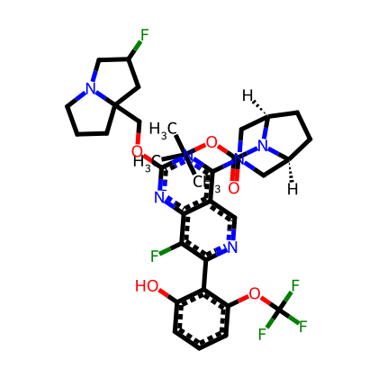 CC(C)(C)OC(=O)N1[C@@H]2CC[C@H]1CN(c1nc(OCC34CCCN3CC(F)C4)nc3c(F)c(-c4c(O)cccc4OC(F)(F)F)ncc13)C2